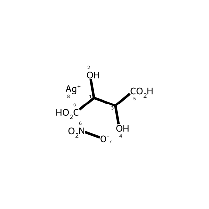 O=C(O)C(O)C(O)C(=O)O.O=[N+]([O-])[O-].[Ag+]